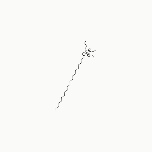 CCCCCCCCCCCCCCCCCCCCCO[Si](CCCC)(OCC)OCC